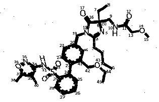 CCCCC1=N[C@@](CC)(CNC(=O)COC)C(=O)N1Cc1ccc(-c2ccccc2S(=O)(=O)Nc2noc(C)c2C)c(COCC)c1